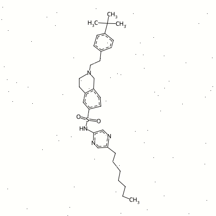 CCCCCCCc1cnc(NS(=O)(=O)c2ccc3c(c2)CCN(CCc2ccc(C(C)(C)C)cc2)C3)cn1